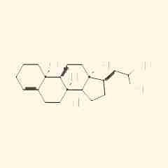 C[C@]12CCCC=C1CC[C@@H]1C2=CC[C@]2(C)C(=CC(O)O)CC[C@@H]12